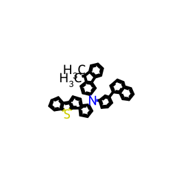 CC1(C)c2ccccc2-c2cc(N(c3cccc(-c4cccc5ccccc45)c3)c3cccc4c3ccc3c5ccccc5sc43)ccc21